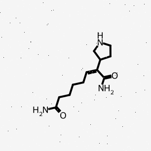 NC(=O)CCCCC=C(C(N)=O)C1CCNC1